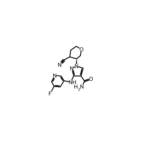 N#CC1CCOC[C@H]1n1cc(C(N)=O)c(Nc2cncc(F)c2)n1